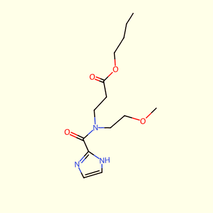 CCCCOC(=O)CCN(CCOC)C(=O)c1ncc[nH]1